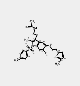 CC(=O)NCCc1c(C)n(S(=O)(=O)c2ccc(C)cc2)c2cc(F)c(OCCn3ccc(C)n3)cc12